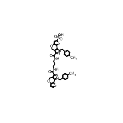 Cc1ccc(Cn2nc(C(=O)NCCCNC(=O)c3nn(Cc4ccc(C)cc4)c4c3COc3cc(S(=O)(=O)O)sc3-4)c3c2-c2sccc2OC3)cc1